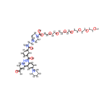 COCCOCCOCCOCCOCCOCCOCCOC(=O)N1CCCN(CCN(C)C(=O)c2cccc(C(=O)Nc3ccc(N4CCCCC4)cc3-c3cc(C(C)=O)ccn3)c2)CC1